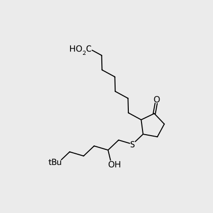 CC(C)(C)CCCC(O)CSC1CCC(=O)C1CCCCCCC(=O)O